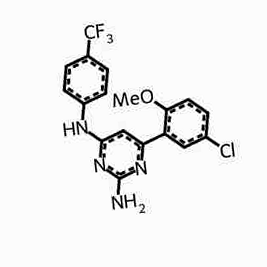 COc1ccc(Cl)cc1-c1cc(Nc2ccc(C(F)(F)F)cc2)nc(N)n1